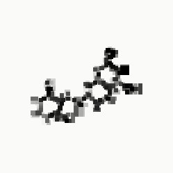 O=C1Cc2cc(NCc3c(Cl)cccc3Cl)ccc2C(O)N1